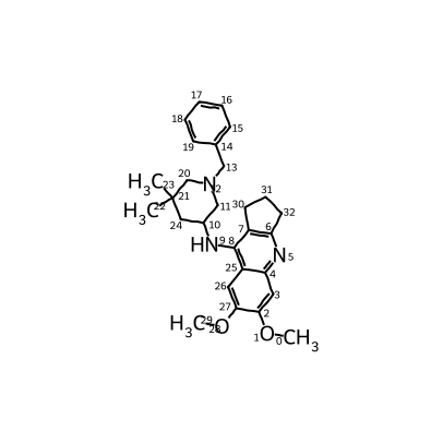 COc1cc2nc3c(c(NC4CN(Cc5ccccc5)CC(C)(C)C4)c2cc1OC)CCC3